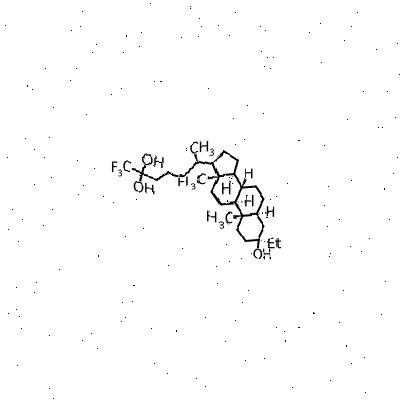 CC[C@]1(O)CC[C@@]2(C)[C@@H](CC[C@@H]3[C@@H]2CC[C@]2(C)[C@@H]([C@H](C)CCCC(O)(O)C(F)(F)F)CC[C@@H]32)C1